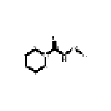 CCONC(=O)N1CCCCC1